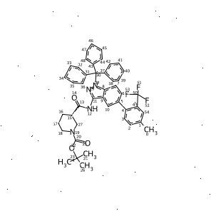 Cc1ccc(-c2ccc3c(c2)c(NC(=O)[C@@H]2CCCN(C(=O)OC(C)(C)C)C2)nn3C(c2ccccc2)(c2ccccc2)c2ccccc2)c(C(F)(F)F)c1